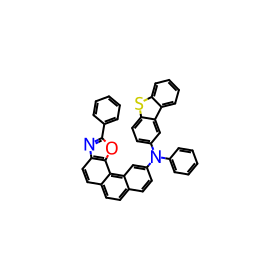 c1ccc(-c2nc3ccc4ccc5ccc(N(c6ccccc6)c6ccc7sc8ccccc8c7c6)cc5c4c3o2)cc1